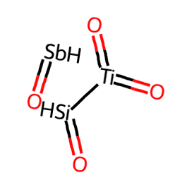 O=[SiH][Ti](=[O])=[O].[O]=[SbH]